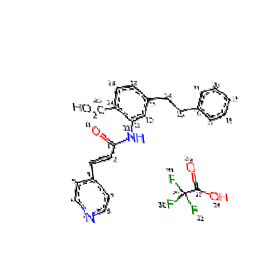 O=C(/C=C/c1ccncc1)Nc1cc(CCc2ccccc2)ccc1C(=O)O.O=C(O)C(F)(F)F